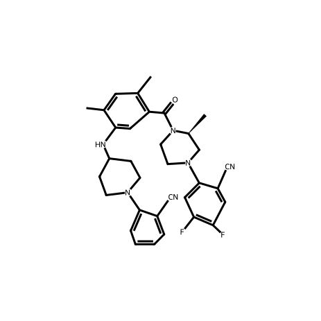 Cc1cc(C)c(C(=O)N2CCN(c3cc(F)c(F)cc3C#N)C[C@@H]2C)cc1NC1CCN(c2ccccc2C#N)CC1